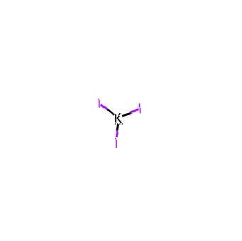 [I][K]([I])[I]